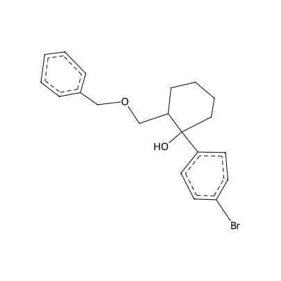 OC1(c2ccc(Br)cc2)CCCCC1COCc1ccccc1